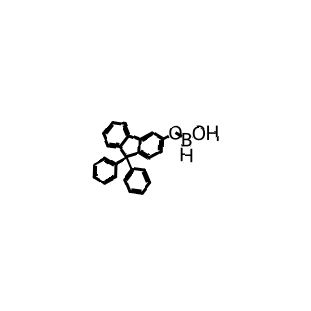 OBOc1ccc2c(c1)-c1ccccc1C2(c1ccccc1)c1ccccc1